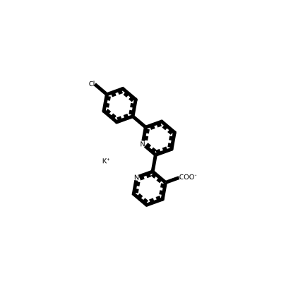 O=C([O-])c1cccnc1-c1cccc(-c2ccc(Cl)cc2)n1.[K+]